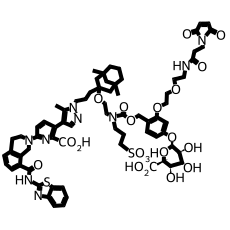 Cc1c(-c2ccc(N3CCc4cccc(C(=O)Nc5nc6ccccc6s5)c4C3)nc2C(=O)O)cnn1CCCC1(OCCN(CCCS(=O)(=O)O)C(=O)OCc2ccc(O[C@@H]3O[C@H](C(=O)O)[C@@H](O)[C@H](O)[C@H]3O)cc2OCCOCCNC(=O)CCN2C(=O)C=CC2=O)CC2(C)CCCC(C)(C2)C1